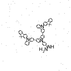 CC1(C)c2ccccc2-c2ccc(-n3c4ccccc4c4cc(-c5ccc6c(c5)c5cc(-c7ccc8c(c7)c7ccccc7n8-c7ccc8c(c7)C(C)(C)c7ccccc7-8)ccc5n6-c5ccc(C(=N)N)cc5)ccc43)cc21